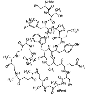 C/C=C(\C=C(/C)F)C[C@H](NC(=O)[C@@H](NC(=O)[C@H](CC(C)C)NC(C)=O)[C@@H](C)O)C(=O)N[C@](C)(CCCCC)C(=O)C(=O)[C@H](CCC(=O)O)NN[C@@H](Cc1ccc(O)cc1)C(=O)N[C@@H](Cc1c[nH]c2ccccc12)C(=O)CN[C@@H](C)C(=O)CC(=O)[C@H](CCC(N)=O)NN[C@@H](CC(C)C)C(=O)N[C@@](C)(CCCCC)C(=O)CN[C@@H](C)C(=O)CCN[C@@H](C)C(=O)CCC(=O)[C@H](C)NCCC(=O)[C@H](C)NCCC(=O)[C@H](C)NCN[C@H](C)C(N)=O